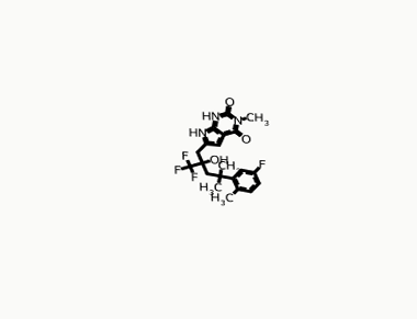 Cc1ccc(F)cc1C(C)(C)CC(O)(Cc1cc2c(=O)n(C)c(=O)[nH]c2[nH]1)C(F)(F)F